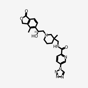 Cc1c([C@H](O)CN2CCCC(C)(CNC(=O)c3ccc(-n4cnnn4)cn3)C2)ccc2c1COC2=O